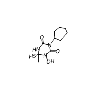 CC1(S)NC(=O)N(C2CCCCC2)C(=O)N1O